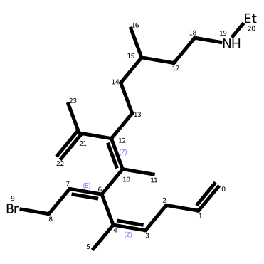 C=CC\C=C(C)/C(=C\CBr)C(/C)=C(/CCC(C)CCNCC)C(=C)C